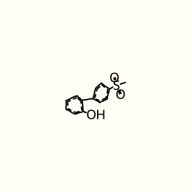 CS(=O)(=O)c1ccc(-c2ccccc2O)cc1